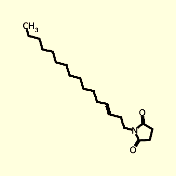 CCCCCCCCCCCC/C=C/CCN1C(=O)CCC1=O